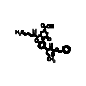 C=CCCNC(=O)[C@H]1CN(C(=O)O)CC(=O)N1c1cccc(C(CC=C)NC(=O)OCc2ccccc2)c1